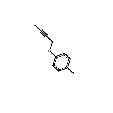 [CH2]C#CCOc1ccc(F)cc1